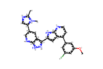 COc1cc(F)cc(-c2ccnc3[nH]c(-c4n[nH]c5ncc(-c6cnc(C)n6C)cc45)cc23)c1